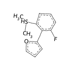 C[SH](C)c1cccc(F)c1-c1ccco1